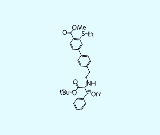 CCSc1cc(-c2ccc(CCNC(C(=O)OC(C)(C)C)[C@H](O)c3ccccc3)cc2)ccc1C(=O)OC